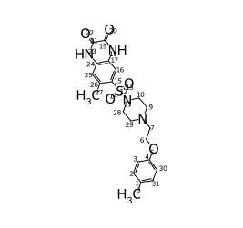 Cc1ccc(OCCN2CCN(S(=O)(=O)c3cc4[nH]c(=O)c(=O)[nH]c4cc3C)CC2)cc1